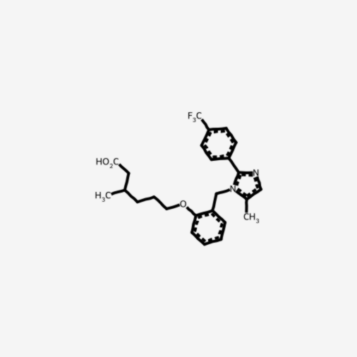 Cc1cnc(-c2ccc(C(F)(F)F)cc2)n1Cc1ccccc1OCCCC(C)CC(=O)O